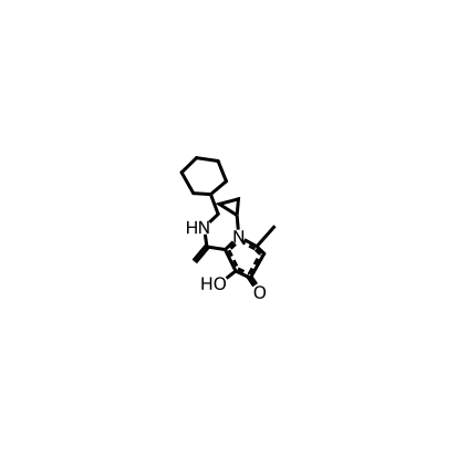 C=C(NCC1CCCCC1)c1c(O)c(=O)cc(C)n1C1CC1